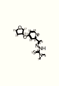 C/C(=N\NC(=S)N(C)C)c1cc(OC2CCOC2)ccn1